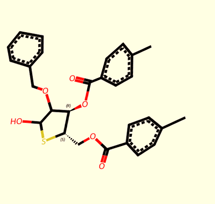 Cc1ccc(C(=O)OC[C@@H]2SC(O)C(OCc3ccccc3)[C@H]2OC(=O)c2ccc(C)cc2)cc1